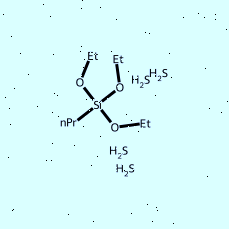 CCC[Si](OCC)(OCC)OCC.S.S.S.S